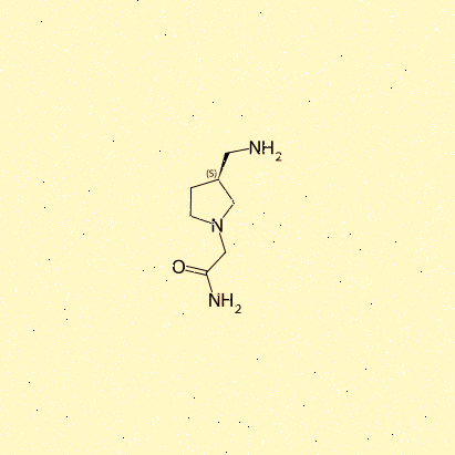 NC[C@@H]1CCN(CC(N)=O)C1